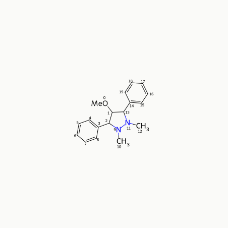 COC1C(c2ccccc2)N(C)N(C)C1c1ccccc1